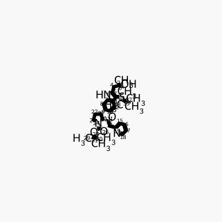 CC(C)(O)Cc1[nH]c2ccc(OC(Cc3ccccn3)[C@H]3CCCN3C(=O)OC(C)(C)C)cc2c1SC(C)(C)C